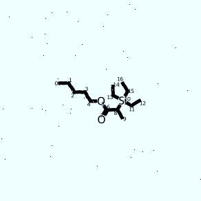 CCCCCOC(=O)C(C)[Si](CC)(CC)CC